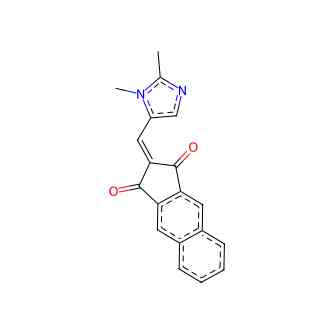 Cc1ncc(C=C2C(=O)c3cc4ccccc4cc3C2=O)n1C